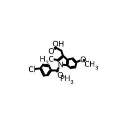 COc1ccc2c(c1)c(CC(=O)O)c(C)n2C(=O)c1ccc(Cl)cc1.P